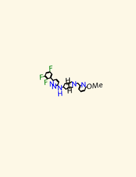 COc1cccc(CN2C[C@H]3CC(Nc4ccc(-c5cc(F)cc(F)c5F)nn4)C[C@H]3C2)n1